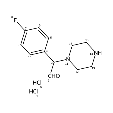 Cl.Cl.O=CC(c1ccc(F)cc1)N1CCNCC1